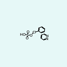 COS(=O)(=O)O.Clc1ccccc1.c1ccnnc1